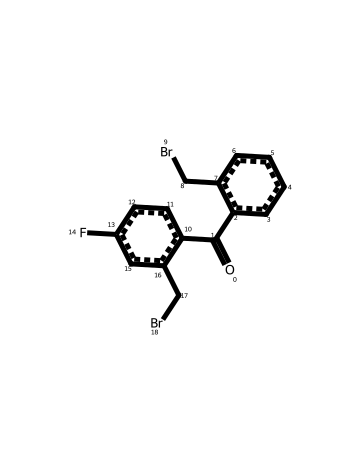 O=C(c1ccccc1CBr)c1ccc(F)cc1CBr